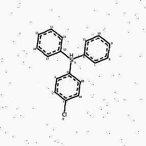 Clc1ccc([SiH](c2ccccc2)c2ccccc2)cc1